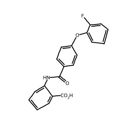 O=C(Nc1ccccc1C(=O)O)c1ccc(Oc2ccccc2F)cc1